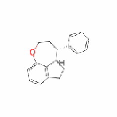 c1ccc([C@H]2CCOc3cccc4c3[C@@H]2CC4)cc1